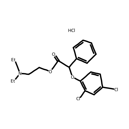 CCN(CC)CCOC(=O)C(Oc1ccc(Cl)cc1Cl)c1ccccc1.Cl